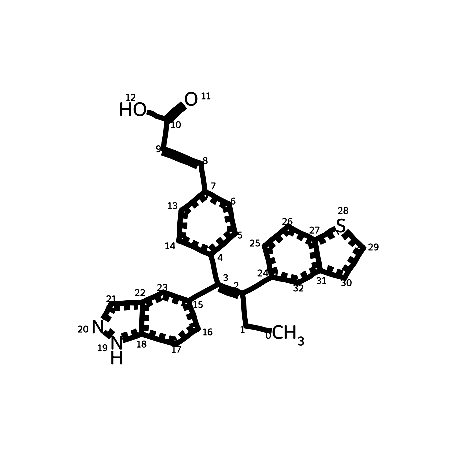 CC/C(=C(/c1ccc(/C=C/C(=O)O)cc1)c1ccc2[nH]ncc2c1)c1ccc2sccc2c1